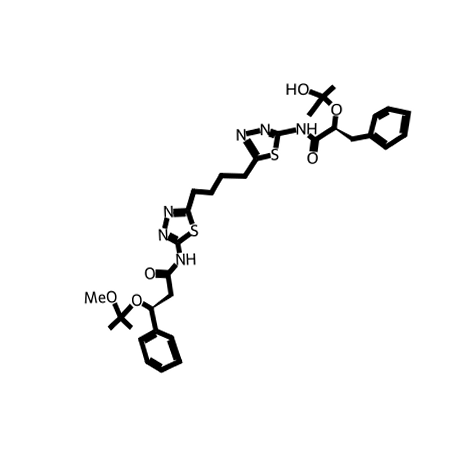 COC(C)(C)O[C@@H](CC(=O)Nc1nnc(CCCCc2nnc(NC(=O)[C@H](Cc3ccccc3)OC(C)(C)O)s2)s1)c1ccccc1